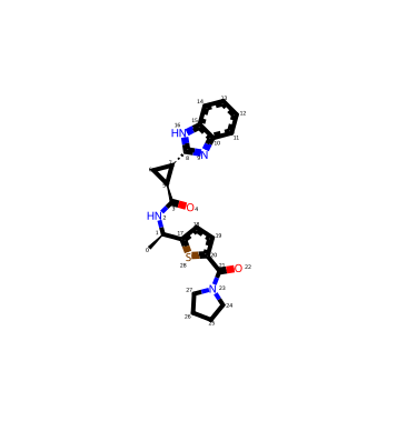 C[C@@H](NC(=O)[C@H]1C[C@@H]1c1nc2ccccc2[nH]1)c1ccc(C(=O)N2CCCC2)s1